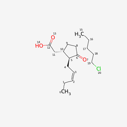 CC/C=C\C[C@@H]1C(=O)CC[C@H]1CC(=O)O.CCCCCCl